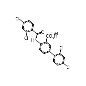 O=C(Nc1ccc(-c2ccc(Cl)cc2Cl)cc1C(=O)O)c1ccc(Cl)cc1Cl.[LiH]